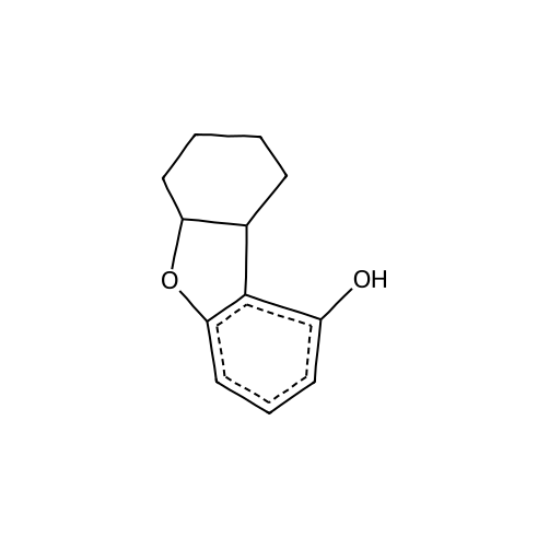 Oc1cccc2c1C1CCCCC1O2